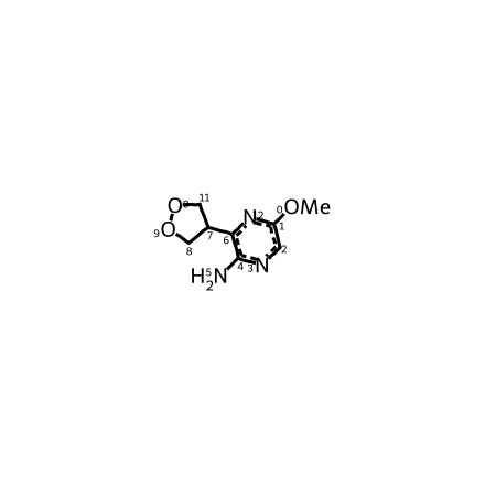 COc1cnc(N)c(C2COOC2)n1